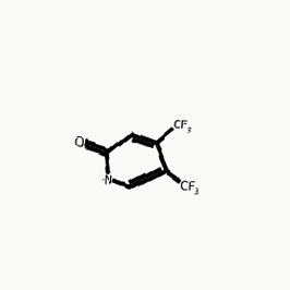 O=C1[C]=C(C(F)(F)F)C(C(F)(F)F)=C[N]1